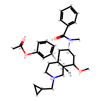 COC1C[C@@H](N(C)C(=O)c2ccccc2)C[C@]2(c3cccc(OC(C)=O)c3)CCN(CC3CC3)C[C@@H]12